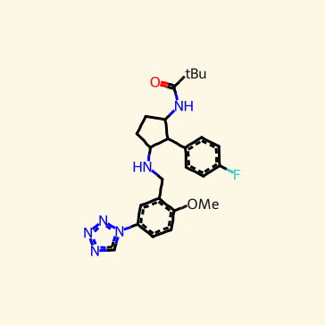 COc1ccc(-n2cnnn2)cc1CNC1CCC(NC(=O)C(C)(C)C)C1c1ccc(F)cc1